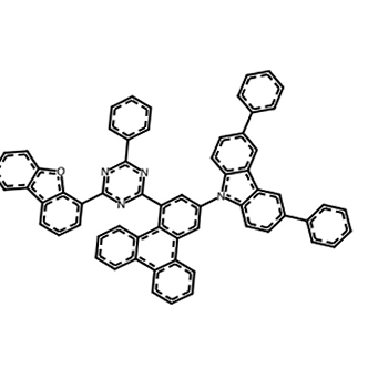 c1ccc(-c2ccc3c(c2)c2cc(-c4ccccc4)ccc2n3-c2cc(-c3nc(-c4ccccc4)nc(-c4cccc5c4oc4ccccc45)n3)c3c4ccccc4c4ccccc4c3c2)cc1